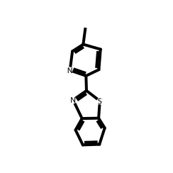 Cc1ccc(-c2nc3ccccc3s2)nc1